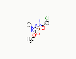 CCOC(=O)c1nn(C2CCCCC2)c2nc(NC(=O)c3cccc(Cl)c3)sc12